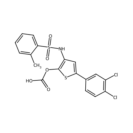 Cc1ccccc1S(=O)(=O)Nc1cc(-c2ccc(Cl)c(Cl)c2)sc1OC(=O)O